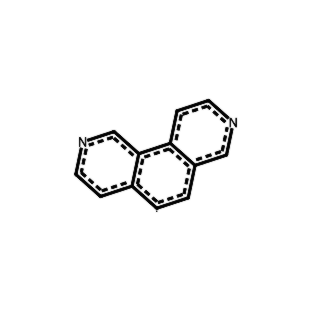 [c]1cc2cnccc2c2cnccc12